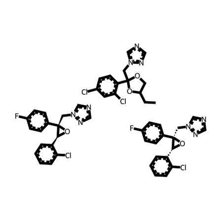 CCC1COC(Cn2cncn2)(c2ccc(Cl)cc2Cl)O1.Fc1ccc([C@@]2(Cn3cncn3)O[C@@H]2c2ccccc2Cl)cc1.Fc1ccc([C@]2(Cn3cncn3)O[C@H]2c2ccccc2Cl)cc1